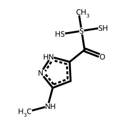 CNc1cc(C(=O)S(C)(S)S)[nH]n1